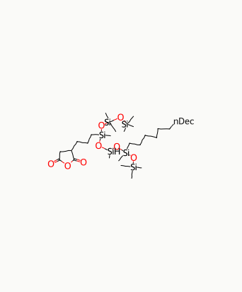 CCCCCCCCCCCCCCCC[Si](C)(O[SiH](C)O[Si](C)(CCCC1CC(=O)OC1=O)O[Si](C)(C)O[Si](C)(C)C)O[Si](C)(C)C